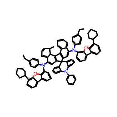 CCc1ccc(N(C2=CC3=C(c4c(cc(N(c5ccc(CC)cc5)c5cccc6c5oc5c(C7CCCCC7)cccc56)c5ccccc45)C34c3ccccc3N(c3ccccc3)c3ccccc34)C3C2=CC=CC3C)c2cccc3c2oc2c(C4CCCCC4)cccc23)cc1